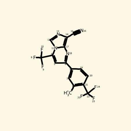 Cc1cc(-c2cc(C(F)(F)F)n3cnc(C#N)c3n2)ccc1C(F)(F)F